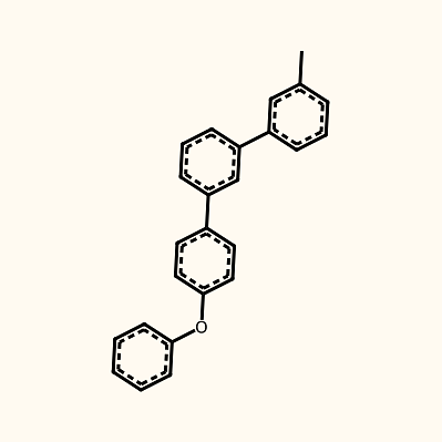 Cc1cccc(-c2cccc(-c3ccc(Oc4ccccc4)cc3)c2)c1